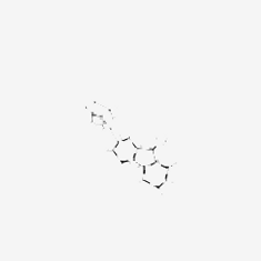 O=C1c2cc(N3CCN4CCC3CC4)ccc2-c2cccc(I)c21